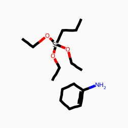 CCC[Si](OCC)(OCC)OCC.NC1=CCCCC1